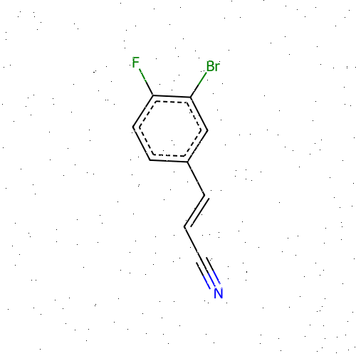 N#C/C=C/c1ccc(F)c(Br)c1